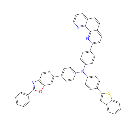 c1ccc(-c2nc3ccc(-c4ccc(N(c5ccc(-c6ccc7ccc8cccnc8c7n6)cc5)c5ccc(-c6cc7ccccc7s6)cc5)cc4)cc3o2)cc1